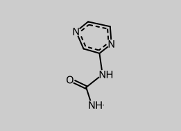 [NH]C(=O)Nc1cnccn1